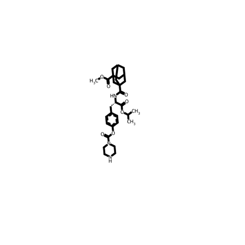 COC(=O)C12CC3CC(CC(C(=O)N[C@@H](Cc4ccc(OC(=O)N5CCNCC5)cc4)C(=O)OC(C)C)(C3)C1)C2